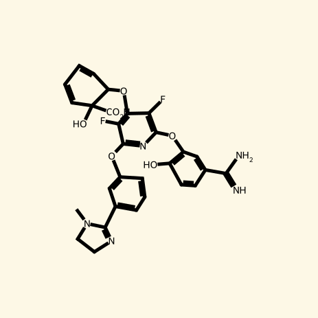 CN1CCN=C1c1cccc(Oc2nc(Oc3cc(C(=N)N)ccc3O)c(F)c(OC3C=CC=CC3(O)C(=O)O)c2F)c1